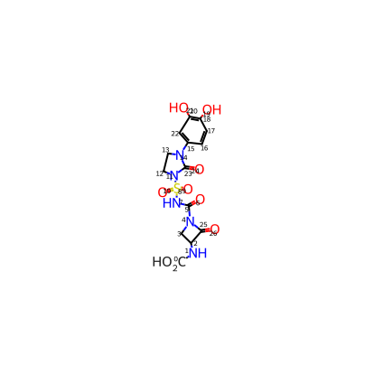 O=C(O)NC1CN(C(=O)NS(=O)(=O)N2CCN(c3ccc(O)c(O)c3)C2=O)C1=O